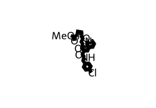 COC(=O)C1CCN1C(=O)Cn1c(=O)c(C(=O)NCc2ccc(Cl)cc2)cc2cccnc21